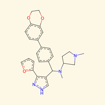 CN1CCC(N(C)C(c2ccc(-c3ccc4c(c3)OCCO4)cc2)c2c[nH]nc2-c2ccco2)C1